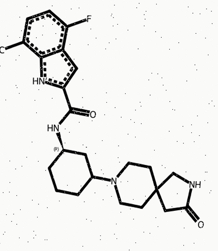 Cc1ccc(F)c2cc(C(=O)N[C@@H]3CCCC(N4CCC5(CC4)CNC(=O)C5)C3)[nH]c12